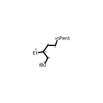 CCCCCCCC([CH]C(C)CC)CC